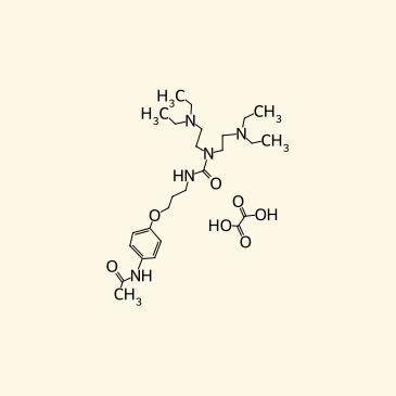 CCN(CC)CCN(CCN(CC)CC)C(=O)NCCCOc1ccc(NC(C)=O)cc1.O=C(O)C(=O)O